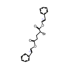 O=C(CCC(Br)C(=O)O/C=C/c1ccccc1)O/C=C/c1ccccc1